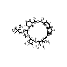 CC(C)[C@@H]1NC(=O)C(C)(C)/C=C/c2ccc3ccc(nc3c2)[C@@H](C)OC(=O)C2CCCN(N2)C(=O)[C@H](COCC2(C)COC2)NC1=O